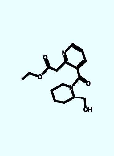 CCOC(=O)Cc1ncccc1C(=O)N1CCCC[C@H]1CO